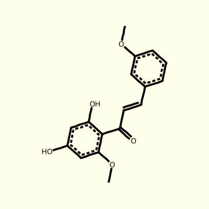 COc1cccc(C=CC(=O)c2c(O)cc(O)cc2OC)c1